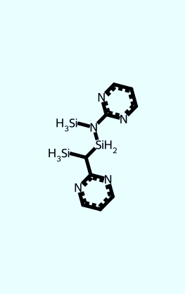 [SiH3]C([SiH2]N([SiH3])c1ncccn1)c1ncccn1